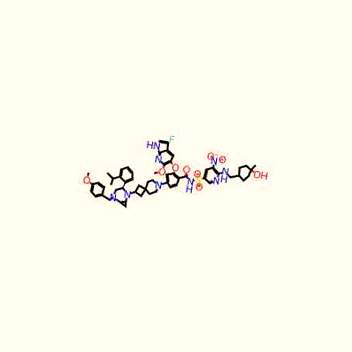 COc1ccc(CN2C[C@@H](c3ccccc3C(C)C)N(C3CC4(CCN(c5ccc(C(=O)NS(=O)(=O)c6cnc(NCC7CCC(C)(O)CC7)c([N+](=O)[O-])c6)c(Oc6cc7c(F)c[nH]c7nc6OC)c5)CC4)C3)C3CC32)cc1